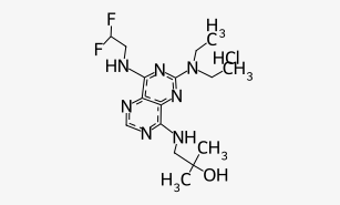 CCN(CC)c1nc(NCC(F)F)c2ncnc(NCC(C)(C)O)c2n1.Cl